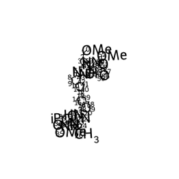 COC[C@H]1C[C@@H](c2nc3ccc4cc(-c5ccc6c(ccc7nc([C@@H]8C[C@H](C)CN8C(=O)C(NC(=O)OC)C(C)C)[nH]c76)c5)ccc4c3[nH]2)N(C(=O)[C@@H](NC(=O)OC)C2CCOCC2)C1